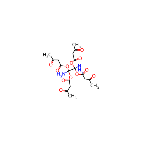 CC(=O)CC(=O)OC(N)(OC(=O)CC(C)=O)C(N)(OC(=O)CC(C)=O)OC(=O)CC(C)=O